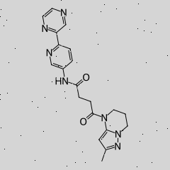 Cc1cc2n(n1)CCCN2C(=O)CCC(=O)Nc1ccc(-c2cnccn2)nc1